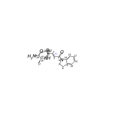 CC[C@H](C)[C@@H](/C=C/C(=O)N1CCc2ccccc21)N[C@@H](C)C(N)=O